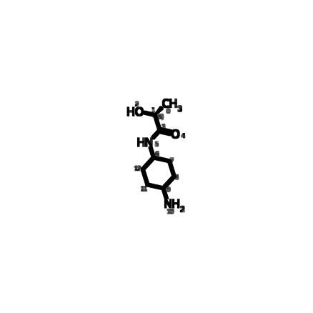 C[C@H](O)C(=O)NC1CCC(N)CC1